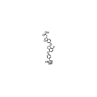 O=C(O)C[C@@H]1COc2cc(O[C@@H]3CCc4c(Oc5ccc(-c6nnn[nH]6)cc5)ccc(F)c43)ccc21